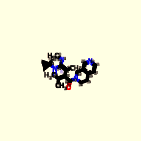 C=N/C(NC1(C)CC1)=C(\C)C(C(=O)N1CCc2ccncc2C1)=C(C)C